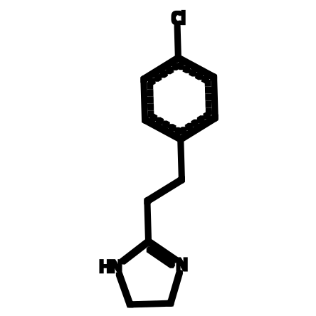 Clc1ccc(CCC2=NCCN2)cc1